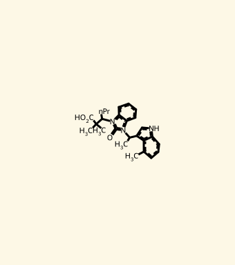 CCCC(n1c(=O)n(C(C)c2c[nH]c3cccc(C)c23)c2ccccc21)C(C)(C)C(=O)O